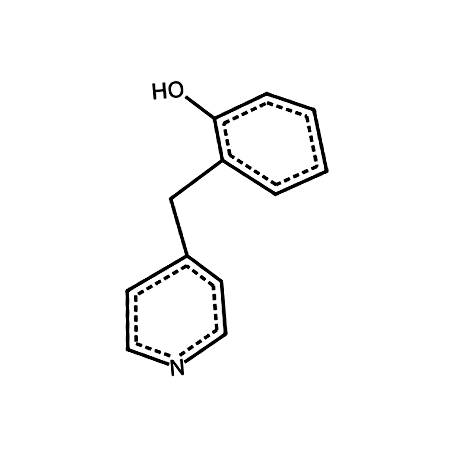 Oc1ccccc1Cc1ccncc1